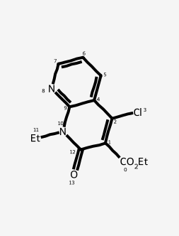 CCOC(=O)c1c(Cl)c2cccnc2n(CC)c1=O